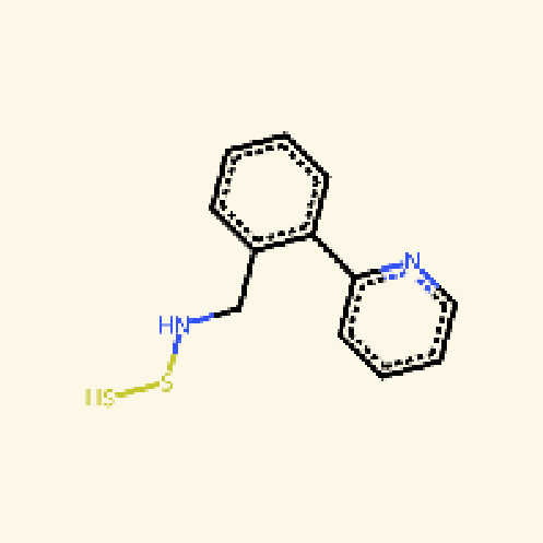 SSNCc1ccccc1-c1ccccn1